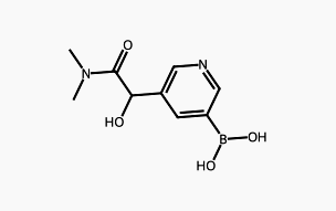 CN(C)C(=O)C(O)c1cncc(B(O)O)c1